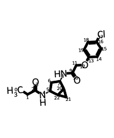 CCC(=O)N[C@@H]1C[C@H](NC(=O)COc2ccc(Cl)cc2)C2CC21